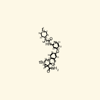 CN1CCC(N(C)C(=O)Nc2cc(Oc3ccc(N(CC(C)(C)C)C(=O)C4(C(N)=O)CC4)c(F)c3)ccn2)CC1